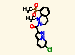 CN1c2c(cccc2S(C)(=O)=O)CCN1C(=O)c1cc2ccc(Cl)cn2n1